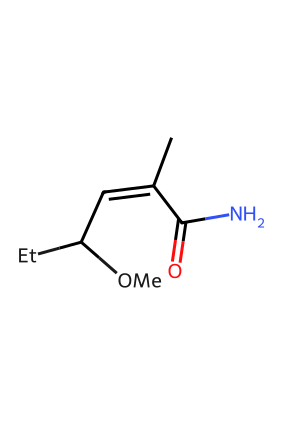 CCC(C=C(C)C(N)=O)OC